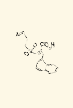 CC(=O)OCCS(=O)(=O)C[C@@H](Cc1cccc2ccccc12)C(=O)O